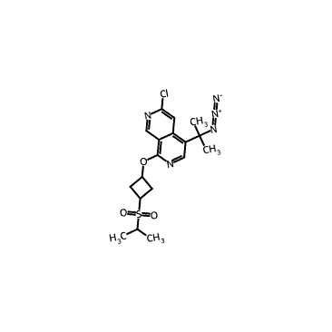 CC(C)S(=O)(=O)C1CC(Oc2ncc(C(C)(C)N=[N+]=[N-])c3cc(Cl)ncc23)C1